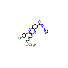 O=C(O)CCCCc1nc2cc(C(=O)N3CC(n4cccn4)C3)ccc2nc1-c1ccc(Cl)cc1